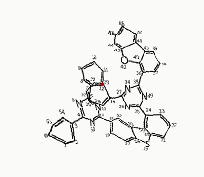 c1ccc(-c2nc(-c3ccccc3)nc(-c3ccc4sc5cccc(-c6nc(-c7ccccc7)nc(-c7cccc8c7oc7ccccc78)n6)c5c4c3)n2)cc1